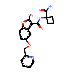 Cc1oc2ccc(OCc3ccccn3)cc2c1C(=O)NC1(C(N)=O)CCC1